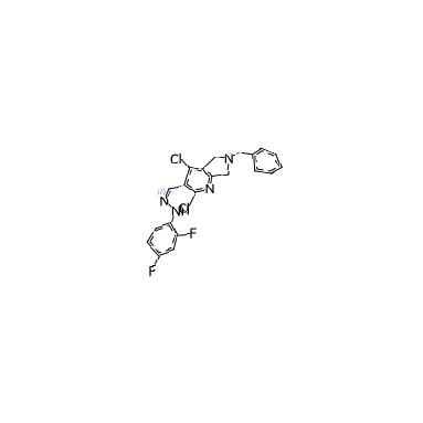 Fc1ccc(N/N=C\c2c(Cl)nc3c(c2Cl)CN(Cc2ccccc2)C3)c(F)c1